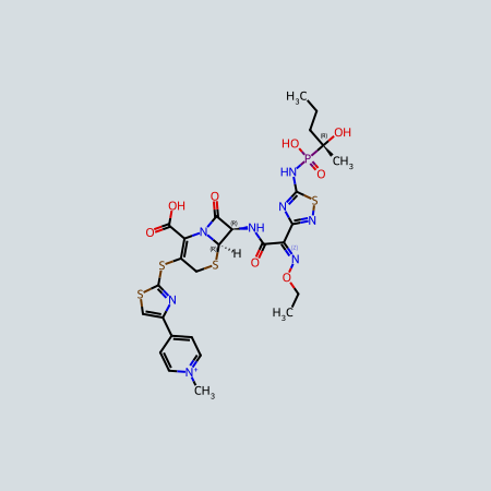 CCC[C@](C)(O)P(=O)(O)Nc1nc(/C(=N/OCC)C(=O)N[C@@H]2C(=O)N3C(C(=O)O)=C(Sc4nc(-c5cc[n+](C)cc5)cs4)CS[C@H]23)ns1